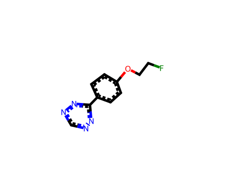 FCCOc1ccc(-c2nncnn2)cc1